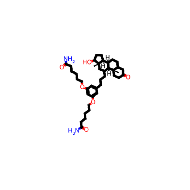 C[C@]12CCC(=O)CC1CC[C@@H]1[C@H]2C(CCCc2cc(OCCCCCC(N)=O)cc(OCCCCCC(N)=O)c2)C[C@]2(C)C(O)CC[C@@H]12